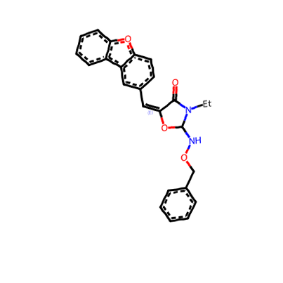 CCN1C(=O)/C(=C\c2ccc3oc4ccccc4c3c2)OC1NOCc1ccccc1